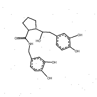 O=C(NCc1ccc(O)c(O)c1)C1CCCN1C(O)Cc1ccc(O)c(O)c1